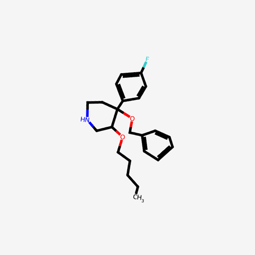 CCCCCOC1CNCCC1(OCc1ccccc1)c1ccc(F)cc1